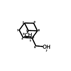 CC1C2CC=C(CO)C1C2